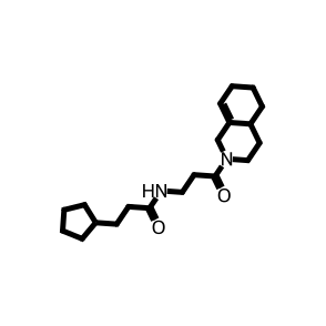 O=C(CCC1CCCC1)NCCC(=O)N1CCC2CCCC=C2C1